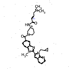 CN(C)C/C=C/C(=O)N[C@@H]1CCCN(C(=O)c2ccc3c(c2)nc(-c2cc4cccnc4n2CC2CC2)n3C)C1